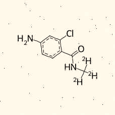 [2H]C([2H])([2H])NC(=O)c1ccc(N)cc1Cl